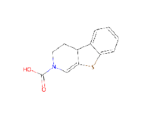 O=C(O)N1C=C2Sc3ccccc3C2CC1